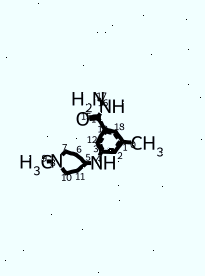 Cc1cc(NC2CCN(C)CC2)cc(C(=O)NN)c1